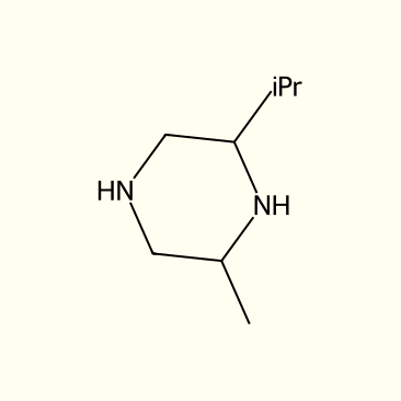 CC1CNCC(C(C)C)N1